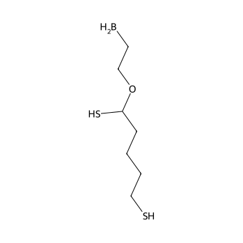 BCCOC(S)CCCCS